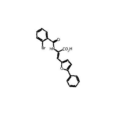 O=C(O)/C(=C\c1ccc(-c2ccccc2)o1)NC(=O)c1ccccc1Br